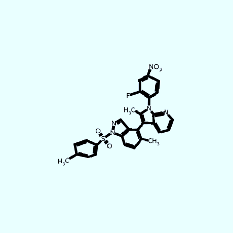 Cc1ccc(S(=O)(=O)n2ncc3c(-c4c(C)n(-c5ccc([N+](=O)[O-])cc5F)c5ncccc45)c(C)ccc32)cc1